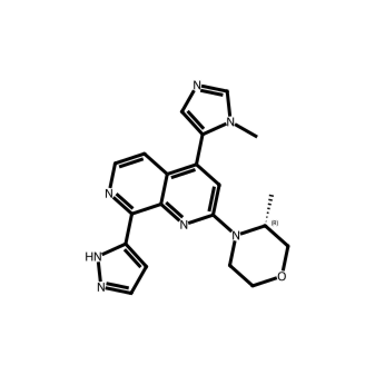 C[C@@H]1COCCN1c1cc(-c2cncn2C)c2ccnc(-c3ccn[nH]3)c2n1